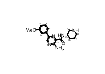 COc1cccc(-c2cnc(N)c(C(=O)N[C@H]3CCCNC3)n2)c1